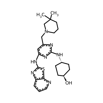 CC1(C)CCCN(Cc2cc(Nc3nc4cccnc4s3)nc(N[C@H]3CC[C@H](O)CC3)n2)C1